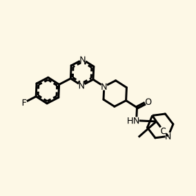 CC1(NC(=O)C2CCN(c3cncc(-c4ccc(F)cc4)n3)CC2)CN2CCC1CC2